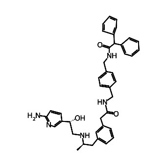 C[C@H](Cc1cccc(CC(=O)NCc2ccc(CNC(=O)C(c3ccccc3)c3ccccc3)cc2)c1)NC[C@@H](O)c1ccc(N)nc1